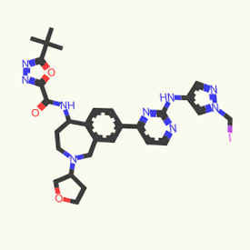 CC(C)(C)c1nnc(C(=O)NC2CCN(C3CCOC3)Cc3cc(-c4ccnc(Nc5cnn(CI)c5)n4)ccc32)o1